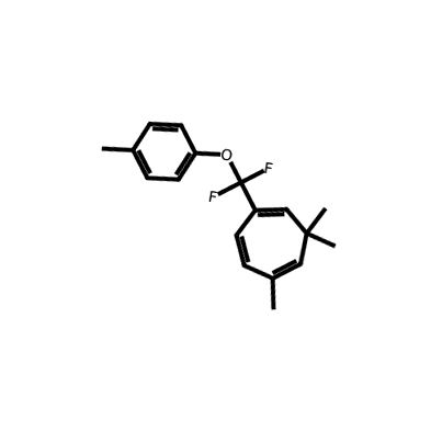 CC1=CC(C)(C)C=C(C(F)(F)Oc2ccc(C)cc2)C=C1